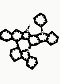 In1c2cc3ccccc3c3c4cccc5c6ccccc6n(c6cc7c8ccccc8n(-c8ccccc8)c7c1c6c32)c54